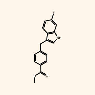 COC(=O)c1ccc(Cc2c[nH]c3cc(F)ccc23)cc1